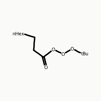 CCCCCCCCC(=O)OOOC(C)(C)C